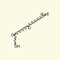 CSCC[S+]([O-])CSCSCSCSCSC(=O)CSCSCSCSCC(=O)SCCSCCO